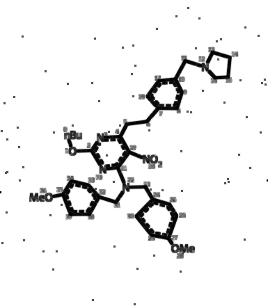 CCCCOc1nc(CCc2ccc(CN3CCCC3)cc2)c([N+](=O)[O-])c(N(Cc2ccc(OC)cc2)Cc2ccc(OC)cc2)n1